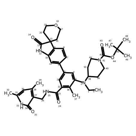 CCN(c1cc(-c2ccc3c(c2)NC(=O)C32CCOCC2)cc(C(=O)NCc2c(C)cc(C)[nH]c2=O)c1C)C1CCN(C(=O)OC(C)(C)C)CC1